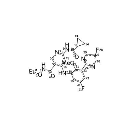 CCONC(=O)c1cnc(NC(=O)C2CC2)cc1Nc1cc(F)cc(-c2ncc(F)cn2)c1OC